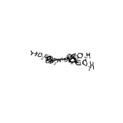 O=C(O)c1ccc(C(=O)OCCCCCCOC(=O)c2ccc(C(=O)O)cc2C(=O)O)c(C(=O)O)c1